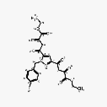 CCOC(=O)C(=O)CC(=O)c1cc(C(=O)CC(=O)C(=O)OCC)n(Cc2ccc(F)cc2)n1